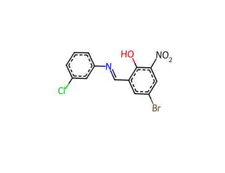 O=[N+]([O-])c1cc(Br)cc(/C=N/c2cccc(Cl)c2)c1O